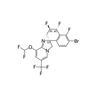 Fc1c(Br)ccc2c1[C@@H](F)[C@H](F)C[C@@]21CN2C=C(C(F)(F)F)C=C(OC(F)F)C2=N1